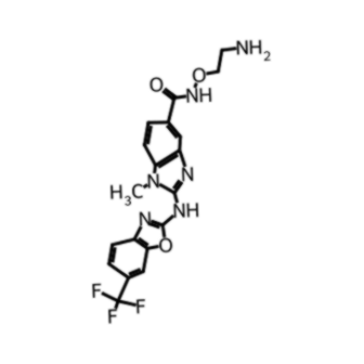 Cn1c(Nc2nc3ccc(C(F)(F)F)cc3o2)nc2cc(C(=O)NOCCN)ccc21